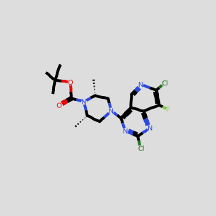 C[C@@H]1CN(c2nc(Cl)nc3c(F)c(Cl)ncc23)C[C@H](C)N1C(=O)OC(C)(C)C